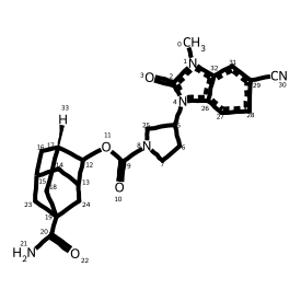 Cn1c(=O)n(C2CCN(C(=O)OC3C4CC5C[C@H]3CC(C(N)=O)(C5)C4)C2)c2ccc(C#N)cc21